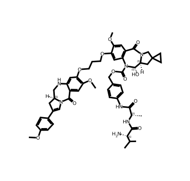 COc1ccc(C2=CN3C(=O)c4cc(OC)c(OCCCOc5cc6c(cc5OC)C(=O)N5CC7(CC7)C[C@H]5[C@H](O)N6C(=O)OCc5ccc(NC(=O)[C@H](C)NC(=O)[C@@H](N)C(C)C)cc5)cc4NC[C@@H]3C2)cc1